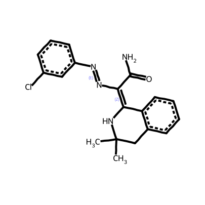 CC1(C)Cc2ccccc2/C(=C(/N=N/c2cccc(Cl)c2)C(N)=O)N1